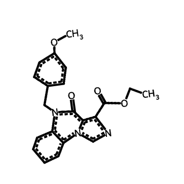 CCOC(=O)c1ncn2c1c(=O)n(Cc1ccc(OC)cc1)c1ccccc12